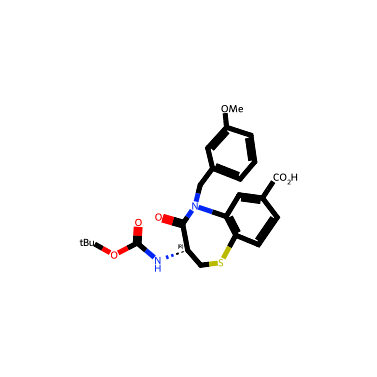 COc1cccc(CN2C(=O)[C@@H](NC(=O)OC(C)(C)C)CSc3ccc(C(=O)O)cc32)c1